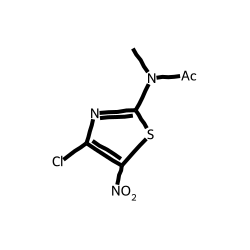 CC(=O)N(C)c1nc(Cl)c([N+](=O)[O-])s1